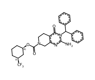 Nc1nc2c(c(=O)n1C(c1ccccc1)c1ccccc1)CCN(C(=O)O[C@@H]1CCC[C@H](C(F)(F)F)C1)C2